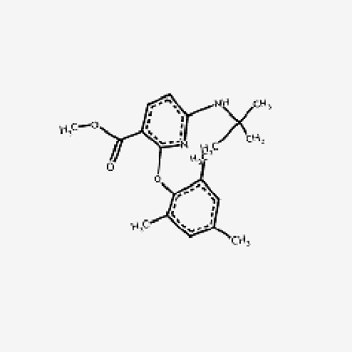 COC(=O)c1ccc(NC(C)(C)C)nc1Oc1c(C)cc(C)cc1C